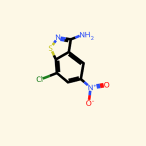 Nc1nsc2c(Cl)cc([N+](=O)[O-])cc12